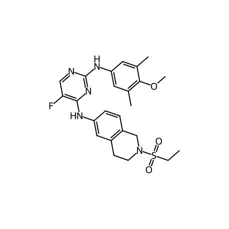 CCS(=O)(=O)N1CCc2cc(Nc3nc(Nc4cc(C)c(OC)c(C)c4)ncc3F)ccc2C1